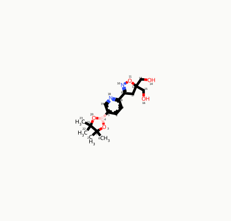 CC1(C)OB(c2ccc(C3=NOC(CO)(CO)C3)nc2)OC1(C)C